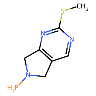 CSc1ncc2c(n1)CN(P)C2